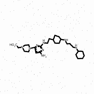 Nc1cc(N2CCN(CC(=O)O)CC2)nc(NCCC2CCC(NCCCNC3CCCCC3)CC2)n1